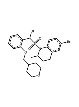 CC1CCc2cc(Br)ccc2N1S(=O)(=O)C(O)c1ccccc1OCC1CCOCC1